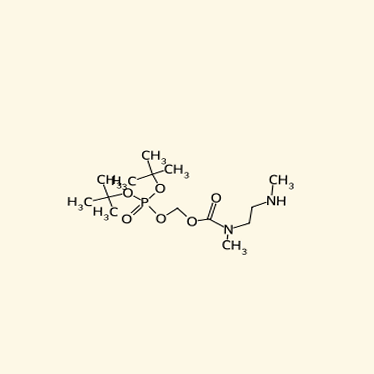 CNCCN(C)C(=O)OCOP(=O)(OC(C)(C)C)OC(C)(C)C